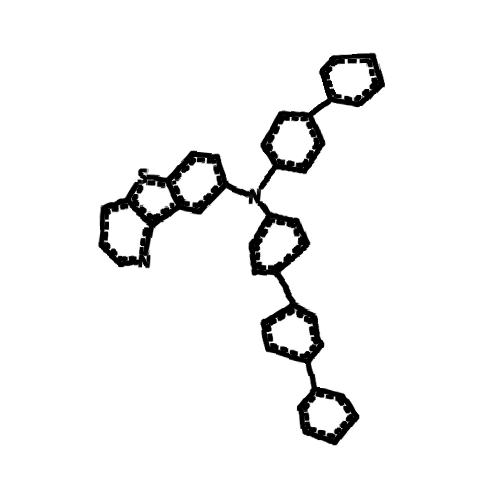 c1ccc(-c2ccc(-c3ccc(N(c4ccc(-c5ccccc5)cc4)c4ccc5sc6cccnc6c5c4)cc3)cc2)cc1